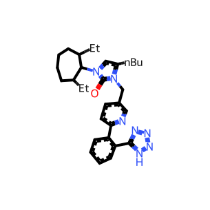 CCCCc1cn(C2C(CC)CCCCC2CC)c(=O)n1Cc1ccc(-c2ccccc2-c2nnn[nH]2)nc1